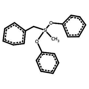 C[Si](Cc1ccccc1)(Oc1ccccc1)Oc1ccccc1